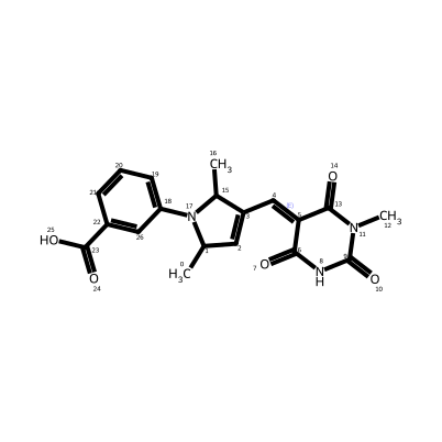 CC1C=C(/C=C2\C(=O)NC(=O)N(C)C2=O)C(C)N1c1cccc(C(=O)O)c1